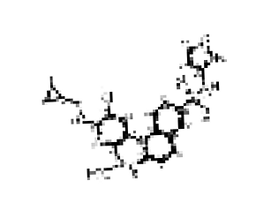 COc1nc(OCC2CC2)c(Cl)cc1-n1c(=O)ccc2cc(S(=O)(=O)Nc3ccon3)ccc21